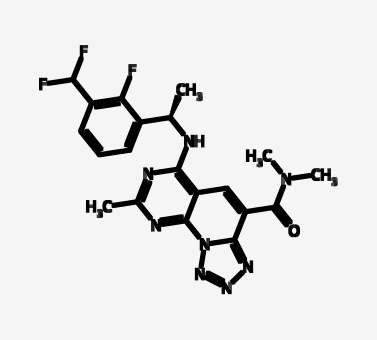 Cc1nc(N[C@H](C)c2cccc(C(F)F)c2F)c2cc(C(=O)N(C)C)c3nnnn3c2n1